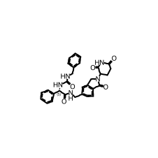 O=C1CCC(N2Cc3cc(CNC(=O)[C@@H](NC(=O)NCc4ccccc4)c4ccccc4)ccc3C2=O)C(=O)N1